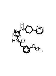 O=C(Cc1cccc(OC(F)(F)F)c1)Nc1nnc(NC2CCC(c3cccnn3)CC2)s1